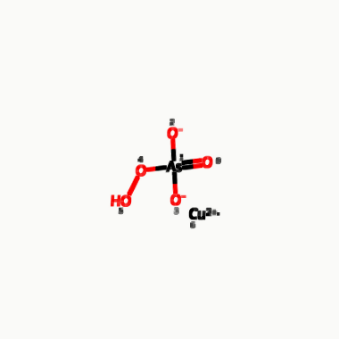 O=[As]([O-])([O-])OO.[Cu+2]